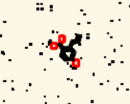 C=CCc1cc(OC)ccc1C(=O)OC